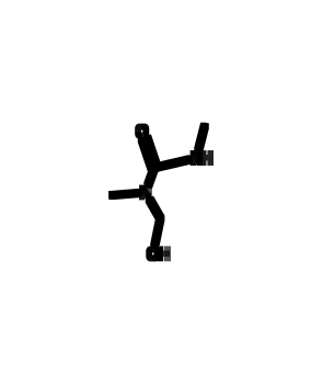 CNC(=O)N(C)CO